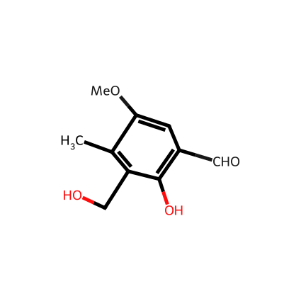 COc1cc(C=O)c(O)c(CO)c1C